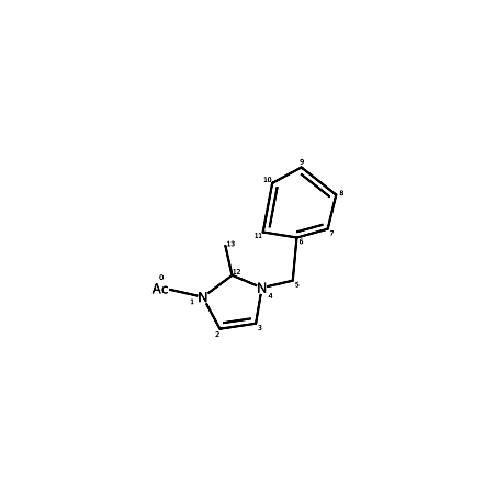 CC(=O)N1C=CN(Cc2ccccc2)C1C